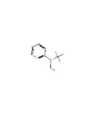 CC(=O)CC(c1ccccc1)C(C)(C)[N+](=O)[O-]